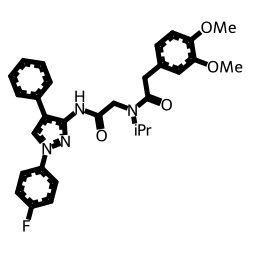 COc1ccc(CC(=O)N(CC(=O)Nc2nn(-c3ccc(F)cc3)cc2-c2ccccc2)C(C)C)cc1OC